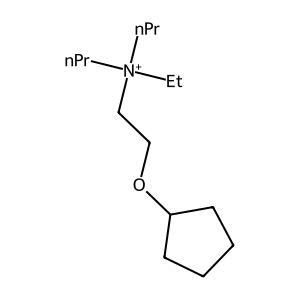 CCC[N+](CC)(CCC)CCOC1CCCC1